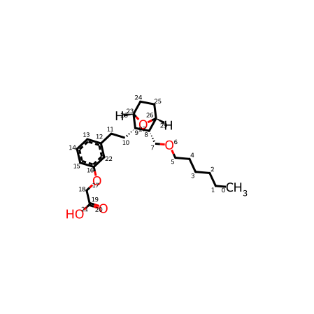 CCCCCCOC[C@@H]1[C@H](CCc2cccc(OCC(=O)O)c2)[C@@H]2CC[C@H]1O2